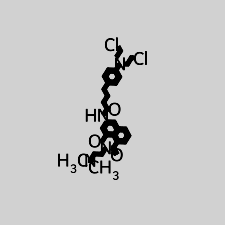 CN(C)CCN1C(=O)c2cccc3cc(NC(=O)CCCc4ccc(N(CCCl)CCCl)cc4)cc(c23)C1=O